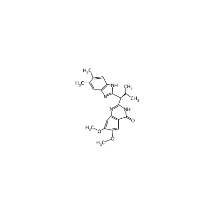 COc1cc2nc([C@@H](c3nc4cc(C)c(C)cc4[nH]3)C(C)C)[nH]c(=O)c2cc1OC